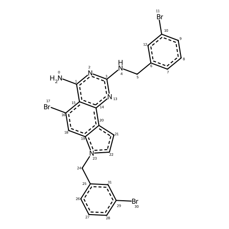 Nc1nc(NCc2cccc(Br)c2)nc2c1c(Br)cc1c2ccn1Cc1cccc(Br)c1